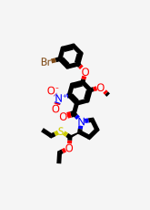 CCOC(SCC)[C@@H]1CCCN1C(=O)c1cc(OC)c(Oc2cccc(Br)c2)cc1[N+](=O)[O-]